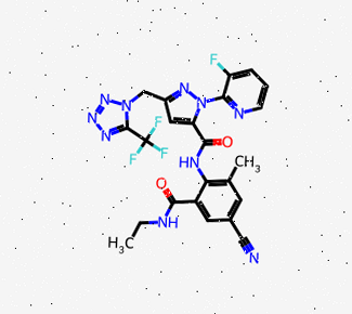 CCNC(=O)c1cc(C#N)cc(C)c1NC(=O)c1cc(Cn2nnnc2C(F)(F)F)nn1-c1ncccc1F